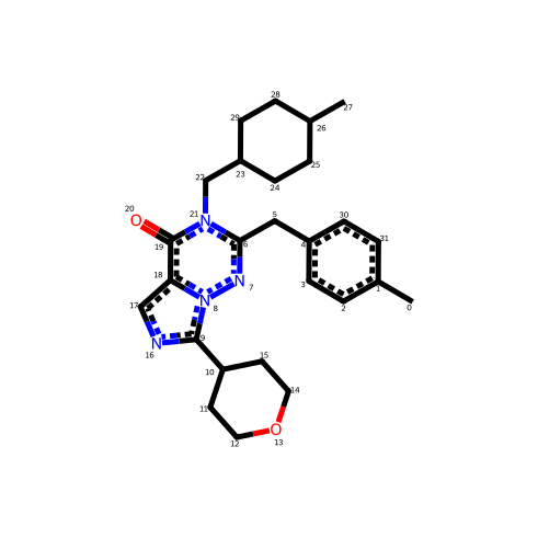 Cc1ccc(Cc2nn3c(C4CCOCC4)ncc3c(=O)n2CC2CCC(C)CC2)cc1